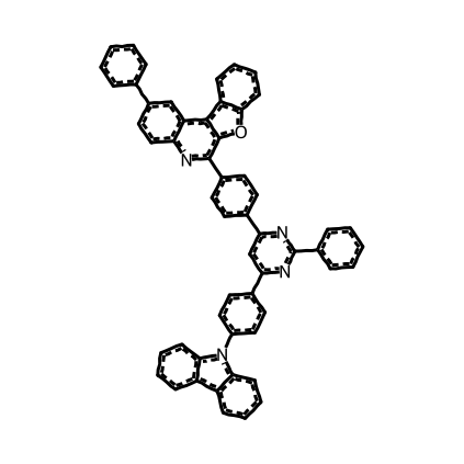 c1ccc(-c2ccc3nc(-c4ccc(-c5cc(-c6ccc(-n7c8ccccc8c8ccccc87)cc6)nc(-c6ccccc6)n5)cc4)c4oc5ccccc5c4c3c2)cc1